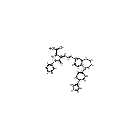 O=C(O)C1=NN(c2ccccc2)C(=O)/C1=C\C=C\c1ccc2c(c1)CCCCN2c1ccc(-c2cccs2)cc1